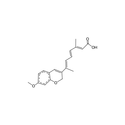 COc1ccc2c(c1)OCC(C(C)=CC=CC(C)=CC(=O)O)=C2